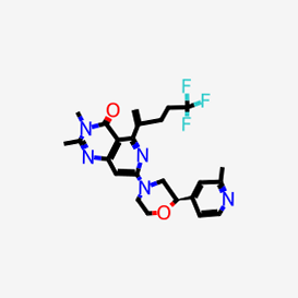 C=C(CCC(F)(F)F)c1nc(N2CCO[C@H](c3ccnc(C)c3)C2)cc2nc(C)n(C)c(=O)c12